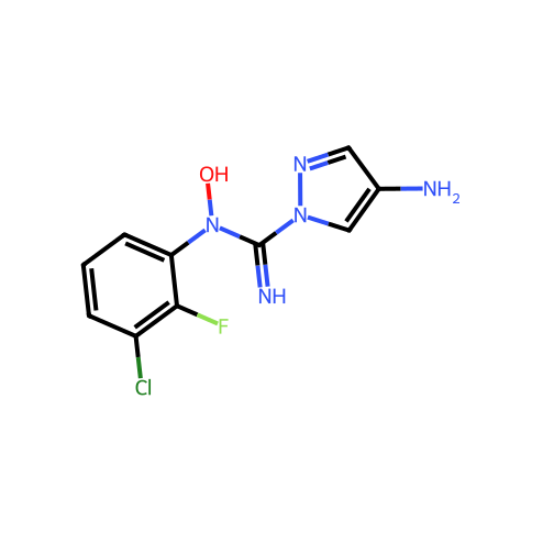 N=C(N(O)c1cccc(Cl)c1F)n1cc(N)cn1